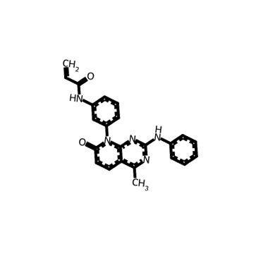 C=CC(=O)Nc1cccc(-n2c(=O)ccc3c(C)nc(Nc4ccccc4)nc32)c1